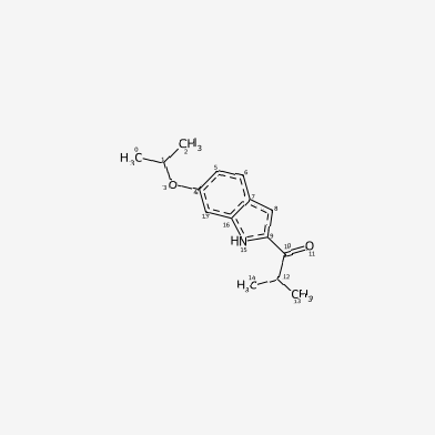 CC(C)Oc1ccc2cc(C(=O)C(C)C)[nH]c2c1